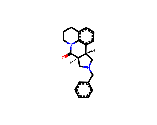 O=C1[C@@H]2CN(Cc3ccccc3)C[C@H]2c2cccc3c2N1CCC3